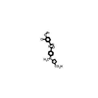 CC(C)Oc1ccc(-c2noc(-c3ccc(N(C)[C@H]4CCC(C(=O)O)C4)cc3)n2)cc1Cl